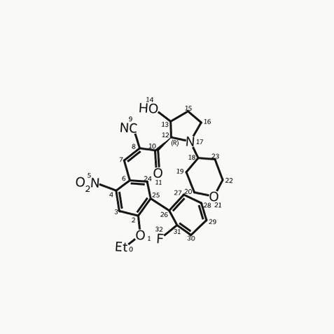 CCOc1cc([N+](=O)[O-])c(C=C(C#N)C(=O)[C@H]2C(O)CCN2C2CCOCC2)cc1-c1ccccc1F